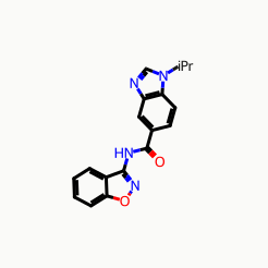 CC(C)n1cnc2cc(C(=O)Nc3noc4ccccc34)ccc21